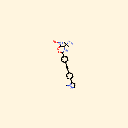 Cn1nccc1-c1ccc(C#Cc2ccc(C(=O)NC(C(=O)NO)C(C)(C)N)cc2)cc1